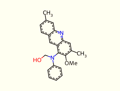 COc1c(C)cc2nc3cc(C)ccc3cc2c1N(CO)c1ccccc1